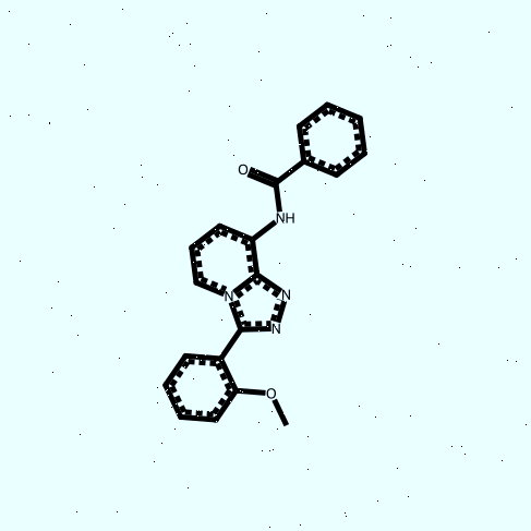 COc1ccccc1-c1nnc2c(NC(=O)c3ccccc3)cccn12